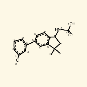 CC1(C)CC(NC(=O)O)c2ccc(-c3cccc(Cl)c3)cc21